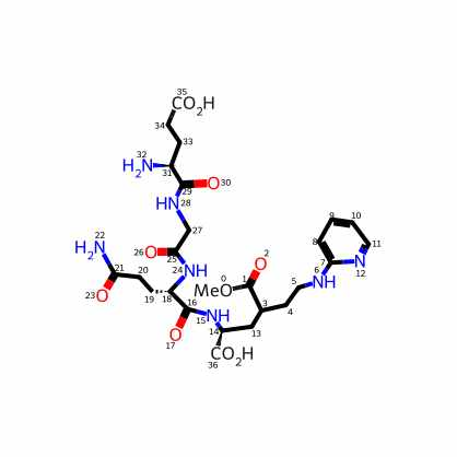 COC(=O)C(CCNc1ccccn1)C[C@H](NC(=O)[C@H](CCC(N)=O)NC(=O)CNC(=O)[C@@H](N)CCC(=O)O)C(=O)O